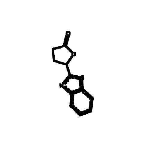 O=C1CCC(c2nc3ccccc3s2)O1